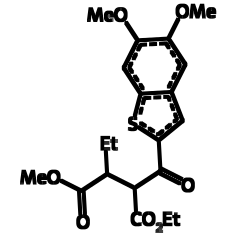 CCOC(=O)C(C(=O)c1cc2cc(OC)c(OC)cc2s1)C(CC)C(=O)OC